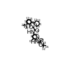 Cc1cc(NC(=O)C(=O)N2CCCC[C@@H]2c2cccc(N(C)C)c2)cnc1NC(=O)OC(C)(C)C